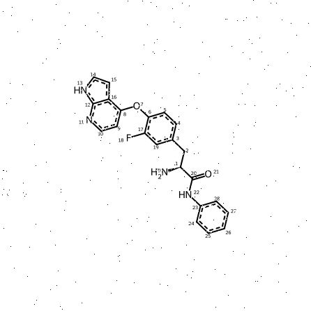 N[C@@H](Cc1ccc(Oc2ccnc3[nH]ccc23)c(F)c1)C(=O)Nc1ccccc1